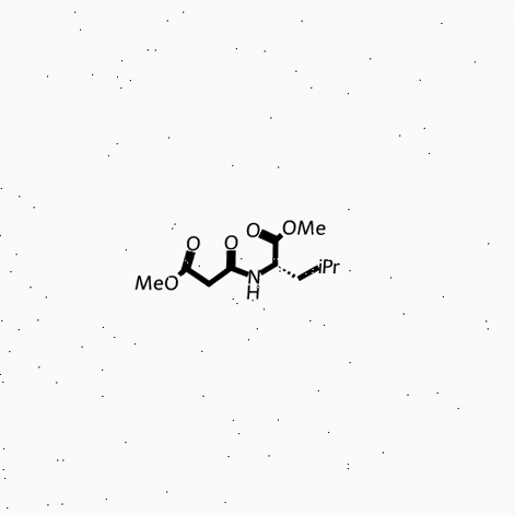 COC(=O)CC(=O)N[C@@H](CC(C)C)C(=O)OC